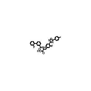 Cc1ccc(-c2nc(-c3ccc(CC(NC(=O)c4cccc(-c5ccccc5F)c4)C(=O)O)cc3F)no2)cc1